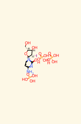 Nc1ccn([C@@H]2O[C@H](CO)[C@@H](O)[C@@H]2I)c(=O)n1.O=P(O)(O)O.O=P(O)(O)O.O=P(O)(O)O